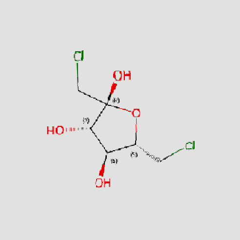 O[C@@H]1[C@@H](CCl)O[C@@](O)(CCl)[C@H]1O